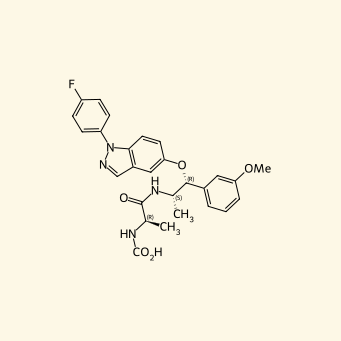 COc1cccc([C@@H](Oc2ccc3c(cnn3-c3ccc(F)cc3)c2)[C@H](C)NC(=O)[C@@H](C)NC(=O)O)c1